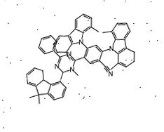 CC1=CCCc2c1n(-c1cc(-n3c4c(c5cccc(C)c53)C=CCC4C)c(C3=NC(c4ccccc4)=NC(c4cccc5c4C4CC=CC=C4C5(C)C)N3C)cc1C#N)c1c(C)cccc21